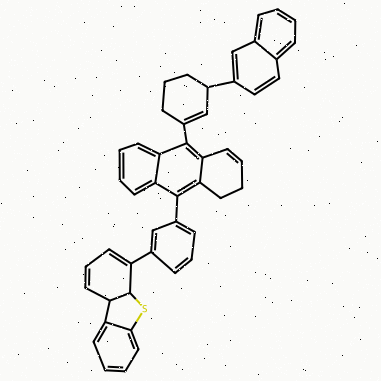 C1=CC2c3ccccc3SC2C(c2cccc(-c3c4c(c(C5=CC(c6ccc7ccccc7c6)CCC5)c5ccccc35)C=CCC4)c2)=C1